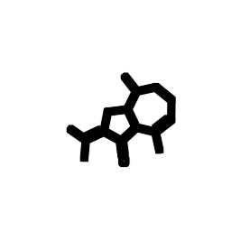 CC1=CCCC(C)C2CC(=C(C)C)C(=O)C12